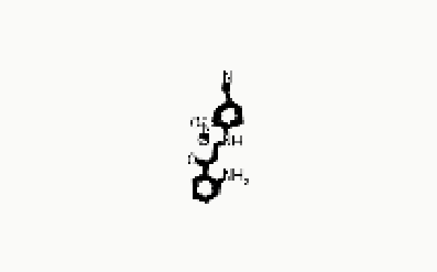 N#Cc1ccc(NCCC(=O)c2ccccc2N)c([N+](=O)[O-])c1